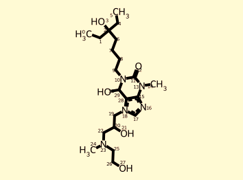 CCC(O)(CC)CCCCN1C(=O)N(C)c2ncn(CC(O)CN(C)CCO)c2C1O